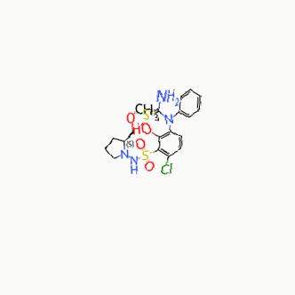 COC[C@@H]1CCCN1NS(=O)(=O)c1c(Cl)ccc(N(C(N)=S)c2ccccc2)c1O